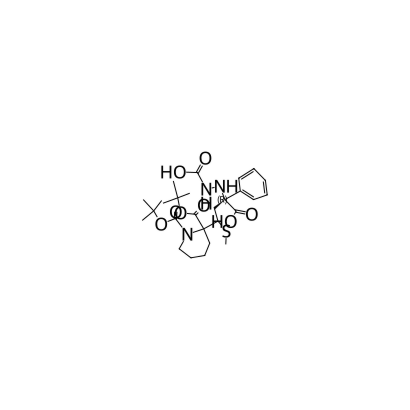 CSC(C[C@](NNC(=O)O)(C(=O)O)c1ccccc1)C1(C(=O)OC(C)(C)C)CCCCN1C(=O)OC(C)(C)C